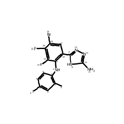 Cc1cc(I)ccc1Nc1c(-c2nnc(N)[nH]2)cc(Br)c(F)c1F